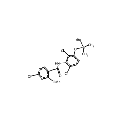 COc1nc(Cl)ncc1C(=O)Nc1c(Cl)ccc(O[Si](C)(C)C(C)(C)C)c1Cl